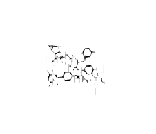 CNc1c(-n2c(C(Cc3cc(F)cc(F)c3)NC(=O)Cn3nc(C(F)(F)F)c4c3C(C)(F)C3CC43)nc3cc(-c4nc(C)cc(C)n4)ccc3c2=O)ccc(Cl)c1C(=N)N[S+](C)[O-]